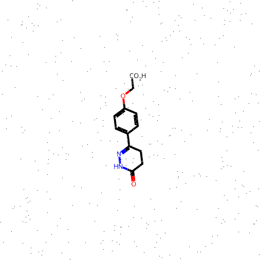 O=C(O)COc1ccc(C2=NNC(=O)CC2)cc1